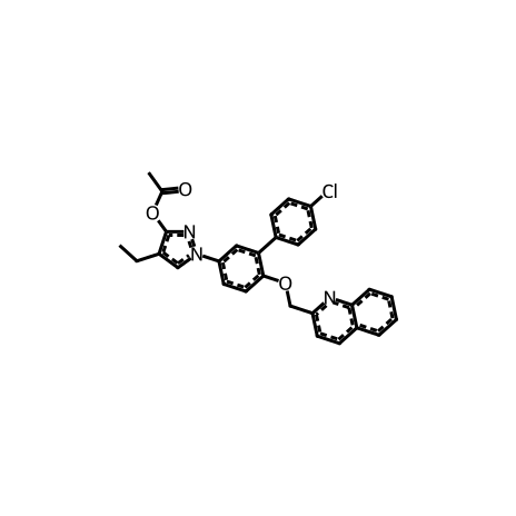 CCc1cn(-c2ccc(OCc3ccc4ccccc4n3)c(-c3ccc(Cl)cc3)c2)nc1OC(C)=O